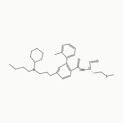 CCCCN(CCCc1ccc(C(=O)N[C@H](C=O)CCSC)c(-c2ccccc2C)c1)C1CCCCC1